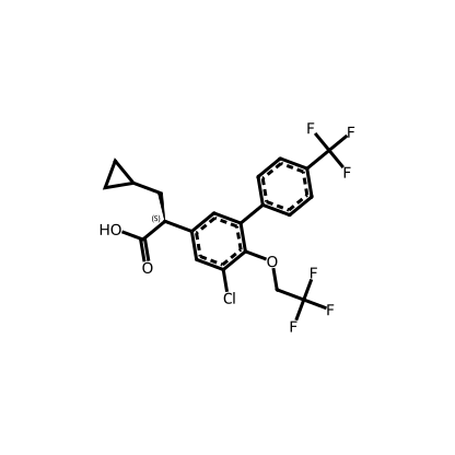 O=C(O)[C@@H](CC1CC1)c1cc(Cl)c(OCC(F)(F)F)c(-c2ccc(C(F)(F)F)cc2)c1